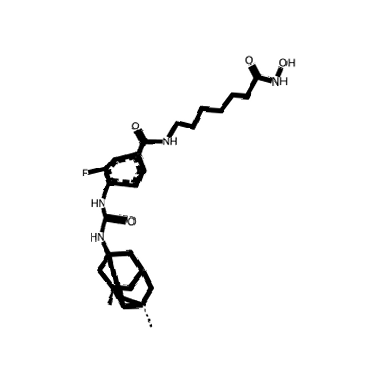 C[C@]12CC3CC(NC(=O)Nc4ccc(C(=O)NCCCCCCC(=O)NO)cc4F)(C1)C[C@@](C)(C3)C2